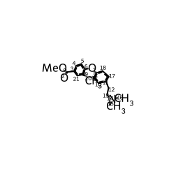 COC(=O)c1ccc(Oc2ccc(CCN(C)C)cc2)c(C(F)(F)F)c1